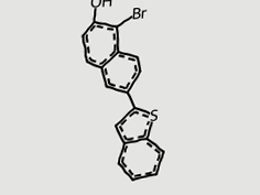 Oc1ccc2cc(-c3cc4ccccc4s3)ccc2c1Br